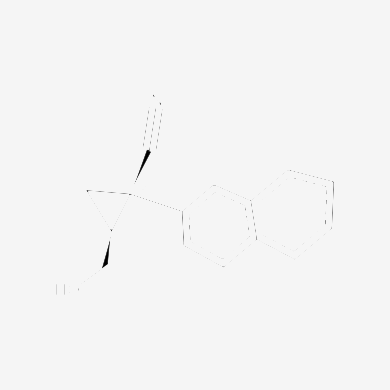 N#C[C@]1(c2ccc3ccccc3c2)C[C@@H]1CO